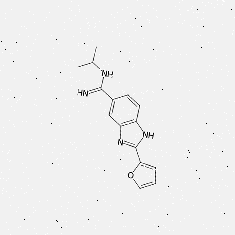 CC(C)NC(=N)c1ccc2[nH]c(-c3ccco3)nc2c1